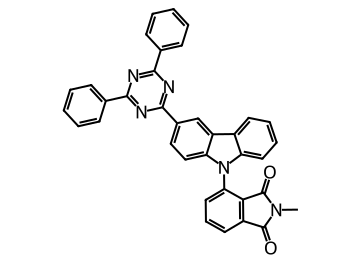 CN1C(=O)c2cccc(-n3c4ccccc4c4cc(-c5nc(-c6ccccc6)nc(-c6ccccc6)n5)ccc43)c2C1=O